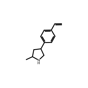 C=Cc1ccc(C2CNC(C)C2)cc1